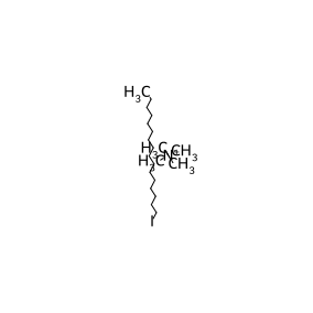 CCCCCCCCCCCCCCCCI.C[N+](C)(C)C